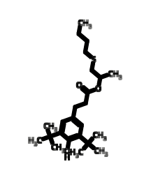 CCCCSCC(C)OC(=O)CCc1cc(C(C)(C)C)c(O)c(C(C)(C)C)c1